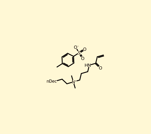 C=CC(=O)NCCC[N+](C)(C)CCCCCCCCCCCC.Cc1ccc(S(=O)(=O)[O-])cc1